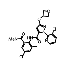 CNC(=O)c1cc(Cl)cc(C)c1NC(=O)c1cc(OC2COC2)nn1-c1ncccc1Cl